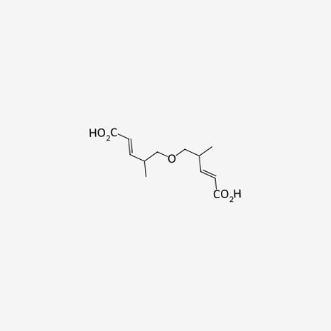 CC(C=CC(=O)O)COCC(C)C=CC(=O)O